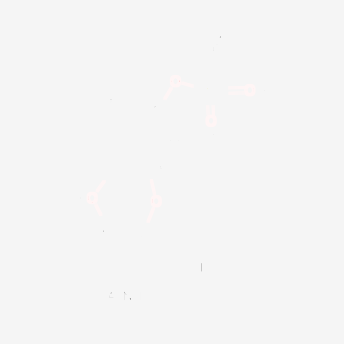 CC(=O)NC(C)C1=COc2ccc(OS(=O)(=O)C(F)(F)F)cc2O1